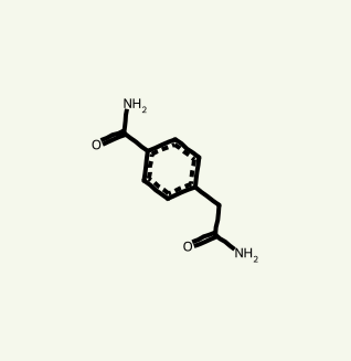 NC(=O)Cc1ccc(C(N)=O)cc1